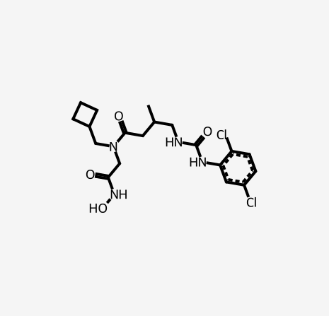 CC(CNC(=O)Nc1cc(Cl)ccc1Cl)CC(=O)N(CC(=O)NO)CC1CCC1